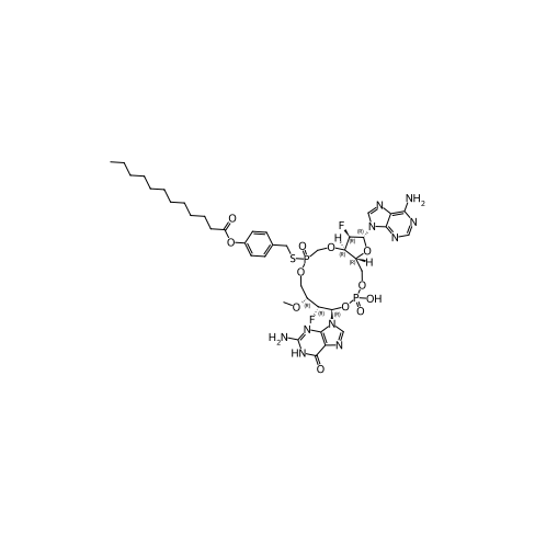 CCCCCCCCCCCC(=O)Oc1ccc(CSP2(=O)CO[C@H]3[C@@H](F)[C@H](n4cnc5c(N)ncnc54)O[C@@H]3COP(=O)(O)O[C@@H](n3cnc4c(=O)[nH]c(N)nc43)[C@H](F)[C@H](OC)CO2)cc1